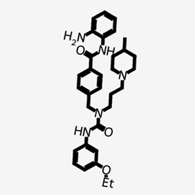 CCOc1cccc(NC(=O)N(CCCN2CCC(C)CC2)Cc2ccc(C(=O)Nc3ccccc3N)cc2)c1